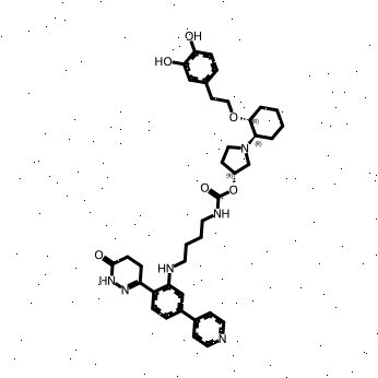 O=C1CCC(c2ccc(-c3ccncc3)cc2NCCCCNC(=O)O[C@@H]2CCN([C@@H]3CCCC[C@H]3OCCc3ccc(O)c(O)c3)C2)=NN1